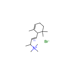 CC1=CCCC(C)(C)C1/C=C/C(C)[N+](C)(C)C.[Br-]